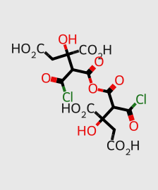 O=C(O)CC(O)(C(=O)O)C(C(=O)Cl)C(=O)OC(=O)C(C(=O)Cl)C(O)(CC(=O)O)C(=O)O